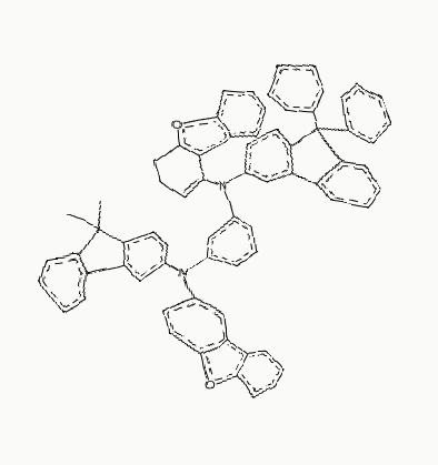 CC1(C)c2ccccc2-c2cc(N(c3cccc(N(C4=CCCc5oc6ccccc6c54)c4ccc5c(c4)-c4ccccc4C5(c4ccccc4)c4ccccc4)c3)c3ccc4oc5ccccc5c4c3)ccc21